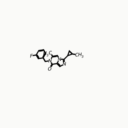 Cc1cn2c(C3CC3C)ncc2c(=O)n1Cc1cccc(F)c1